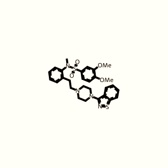 COc1ccc(S(=O)(=O)N(C)c2ccccc2CCN2CCN(c3nsc4ccccc34)CC2)cc1OC